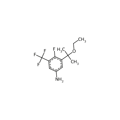 CCOC(C)(C)c1cc(N)cc(C(F)(F)F)c1F